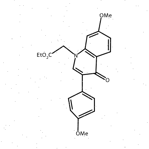 CCOC(=O)Cn1cc(-c2ccc(OC)cc2)c(=O)c2ccc(OC)cc21